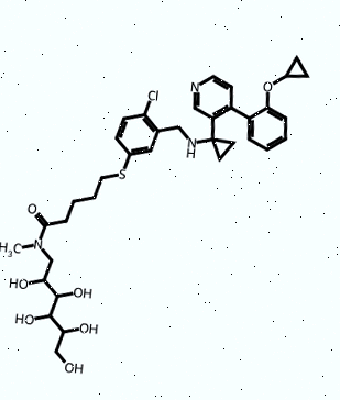 CN(CC(O)C(O)C(O)C(O)CO)C(=O)CCCCSc1ccc(Cl)c(CNC2(c3cnccc3-c3ccccc3OC3CC3)CC2)c1